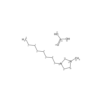 CCCCCCCCN1CCN(C)C1.O=C(O)O